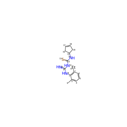 CCc1cccc(C)c1NC(=N)NC(=S)NC1CC=CC1